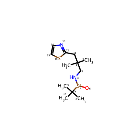 CC(C)(CN[S+]([O-])C(C)(C)C)Cc1nccs1